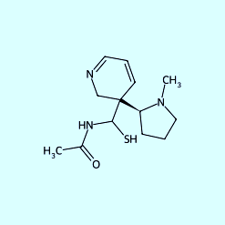 CC(=O)NC(S)C1([C@@H]2CCCN2C)C=CC=NC1